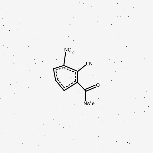 CNC(=O)c1cccc([N+](=O)[O-])c1C#N